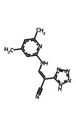 Cc1cc(C)nc(NC=C(C#N)c2nnn[nH]2)c1